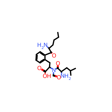 CCCCC(N)C(=O)c1ccccc1CC(C(=O)O)N(C=O)C(=O)C(N)CC(C)C